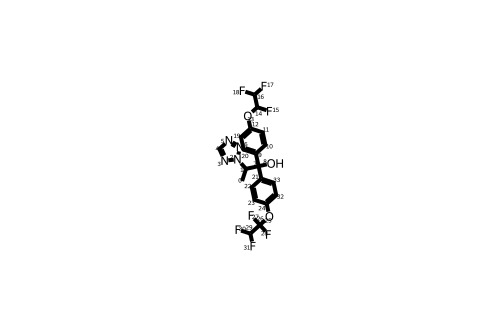 CC(n1ncnn1)C(O)(c1ccc(OC(F)C(F)F)cc1)c1ccc(OC(F)(F)C(F)F)cc1